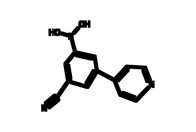 N#Cc1cc(B(O)O)cc(-c2ccncc2)c1